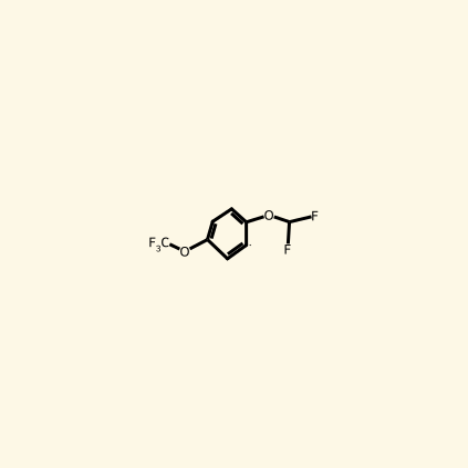 FC(F)Oc1[c]cc(OC(F)(F)F)cc1